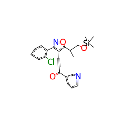 CC(CO[Si](C)(C)C)c1onc(-c2ccccc2Cl)c1C#CC(=O)c1cccnc1